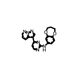 c1cnn2ncc(-c3ccnc(Nc4ccc5c(c4)OCCCO5)n3)c2c1